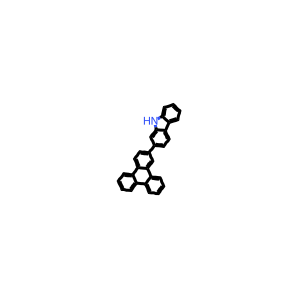 c1ccc2c(c1)[nH]c1cc(-c3ccc4c5ccccc5c5ccccc5c4c3)ccc12